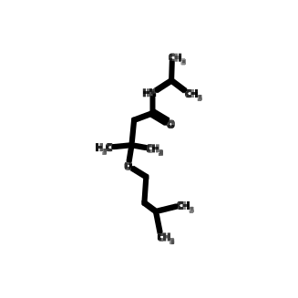 CC(C)CCOC(C)(C)CC(=O)NC(C)C